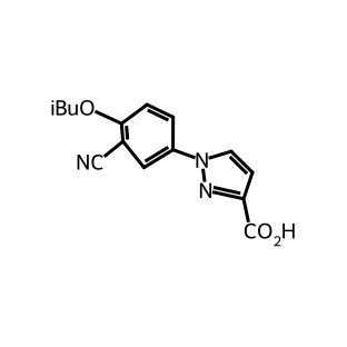 CC(C)COc1ccc(-n2ccc(C(=O)O)n2)cc1C#N